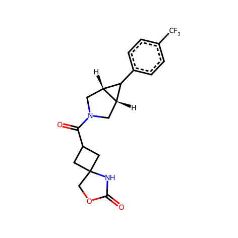 O=C1NC2(CO1)CC(C(=O)N1C[C@@H]3C(c4ccc(C(F)(F)F)cc4)[C@@H]3C1)C2